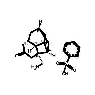 NC[C@@]1(CC(=O)O)[C@@H]2C[C@@H]3CC[C@H]1[C@H]2C3.O=S(=O)(O)c1ccccc1